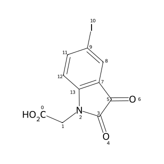 O=C(O)CN1C(=O)C(=O)c2cc(I)ccc21